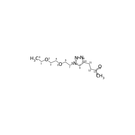 CCOCCOCCn1cc(CCC(C)=O)nn1